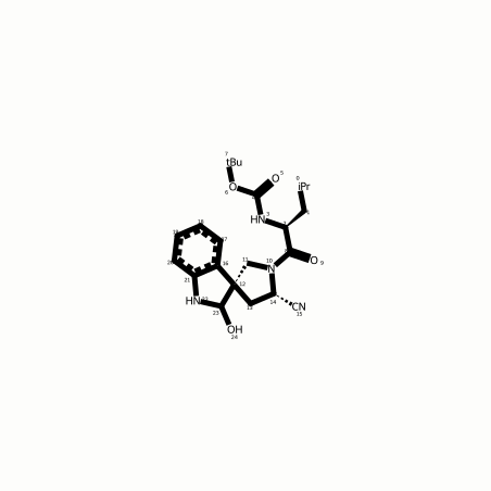 CC(C)C[C@H](NC(=O)OC(C)(C)C)C(=O)N1C[C@@]2(C[C@H]1C#N)c1ccccc1NC2O